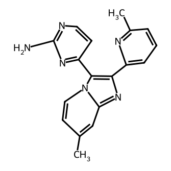 Cc1ccn2c(-c3ccnc(N)n3)c(-c3cccc(C)n3)nc2c1